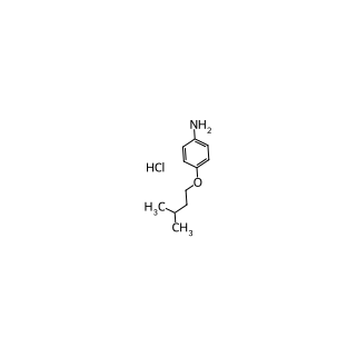 CC(C)CCOc1ccc(N)cc1.Cl